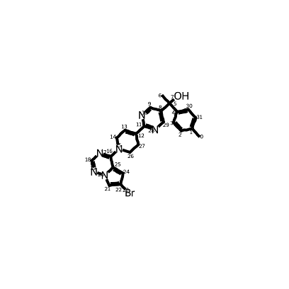 Cc1ccc(C(C)(O)c2cnc(C3=CCN(c4ncnn5cc(Br)cc45)CC3)nc2)cc1